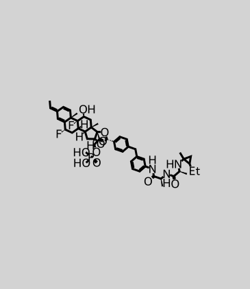 C/C=C1\C=C[C@@]2(C)C(=C1)[C@@H](F)C[C@H]1[C@@H]3C[C@H]4O[C@@H](c5ccc(Cc6cccc(NC(=O)[C@H](C)NC(=O)[C@H](C)NC7(C)CC7CC)c6)cc5)O[C@@]4(C(=O)COP(=O)(O)O)[C@@]3(C)C[C@H](O)[C@@]12F